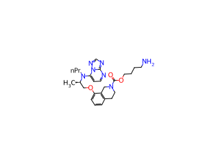 CCCN(c1ccnc2ncnn12)[C@H](C)COc1cccc2c1CN(C(=O)OCCCCN)CC2